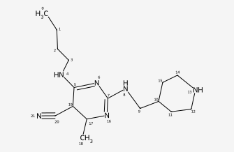 CCCCNC1=NC(NCC2CCNCC2)=NC(C)C1C#N